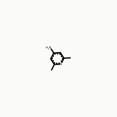 Cc1cc(N)cc(I)n1